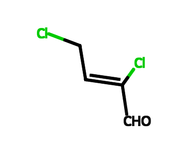 O=C/C(Cl)=C/CCl